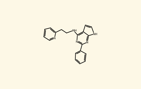 c1ccc(-c2nc(NCCc3ccccn3)c3cc[nH]c3n2)cc1